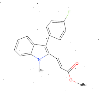 CCCCOC(=O)/C=C/c1c(-c2ccc(F)cc2)c2ccccc2n1C(C)C